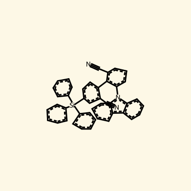 N#Cc1cc([Si](c2ccccc2)(c2ccccc2)c2ccccc2)ccc1-c1c(C#N)cccc1-n1c2ccccc2c2ccccc21